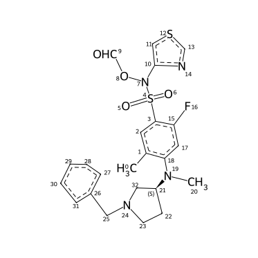 Cc1cc(S(=O)(=O)N(OC=O)c2cscn2)c(F)cc1N(C)[C@H]1CCN(Cc2ccccc2)C1